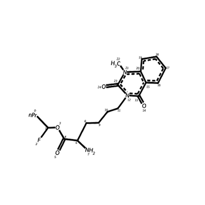 CCCC(F)OC(=O)C(N)CCCCn1c(=O)c2ccccc2n(C)c1=O